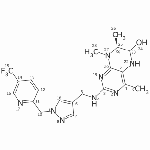 Cc1nc(NCc2cnn(Cc3ccc(C(F)(F)F)cn3)c2)nc2c1NC(O)[C@H](C)N2C